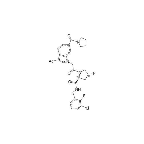 CC(=O)c1cn(CC(=O)N2C[C@H](F)C[C@H]2C(=O)NCc2cccc(Cl)c2F)c2cc(C(=O)N3CCCC3)ccc12